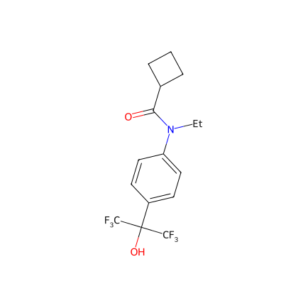 CCN(C(=O)C1CCC1)c1ccc(C(O)(C(F)(F)F)C(F)(F)F)cc1